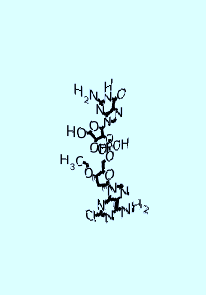 CCO[C@@H]1C[C@H](n2cnc3c(N)nc(Cl)nc32)OC1COP(=O)(O)OC1C(O)C(O)OC1n1cnc2c(=O)[nH]c(N)nc21